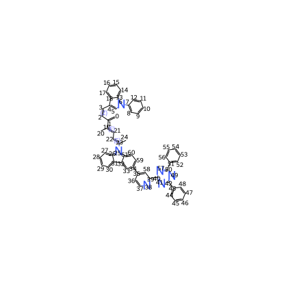 C=C(/C=C\c1cn(-c2ccccc2)c2ccccc12)/C(C)=C/C=C(\C)n1c2ccccc2c2cc(-c3ccnc(-c4nc(-c5ccccc5)nc(-c5ccccc5)n4)c3)ccc21